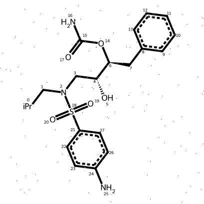 CC(C)CN(C[C@@H](O)[C@H](Cc1ccccc1)OC(N)=O)S(=O)(=O)c1ccc(N)cc1